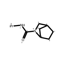 CC(C)NC(=O)N1CC2CCC1C2